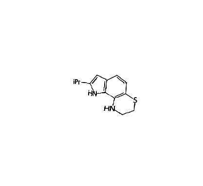 CC(C)c1cc2ccc3c(c2[nH]1)NCCS3